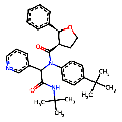 CC(C)(C)NC(=O)C(c1cccnc1)N(C(=O)[C@@H]1CCO[C@@H]1c1ccccc1)c1ccc(C(C)(C)C)cc1